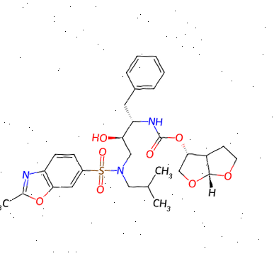 Cc1nc2ccc(S(=O)(=O)N(CC(C)C)C[C@@H](O)[C@H](Cc3ccccc3)NC(=O)O[C@H]3CO[C@H]4OCCC43)cc2o1